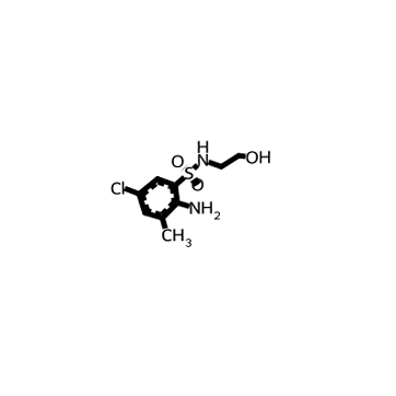 Cc1cc(Cl)cc(S(=O)(=O)NCCO)c1N